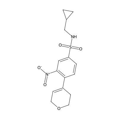 O=[N+]([O-])c1cc(S(=O)(=O)NCC2CC2)ccc1C1=CCOCC1